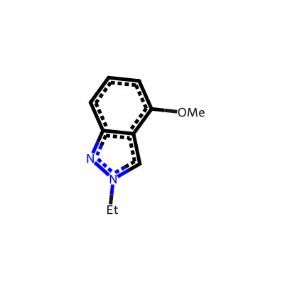 CCn1cc2c(OC)cccc2n1